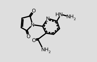 NNc1ccc(C(N)=O)c(N2C(=O)C=CC2=O)n1